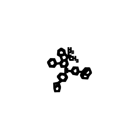 CC1(C)c2ccccc2-c2c(-c3ccccc3)cc(N(c3ccc(C4CC5CCC4C5)cc3)c3ccc(C45CC6CC(CC(C6)C4)C5)cc3)cc21